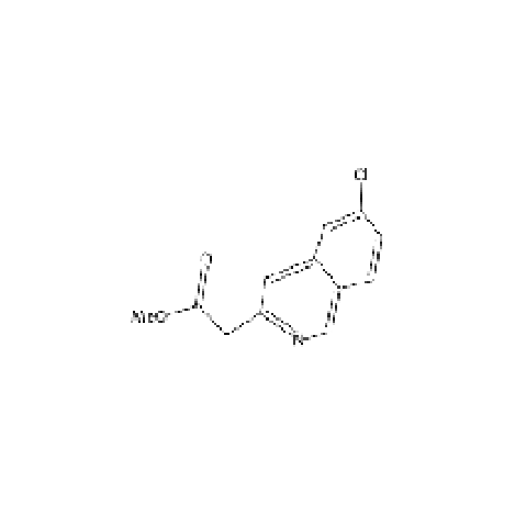 COC(=O)Cc1cc2cc(Cl)ccc2cn1